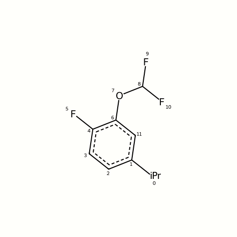 CC(C)c1ccc(F)c(OC(F)F)c1